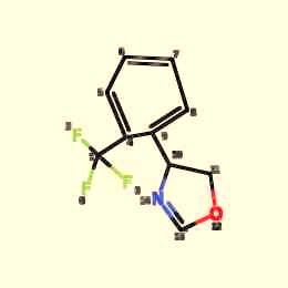 FC(F)(F)c1ccccc1C1CO[C]=N1